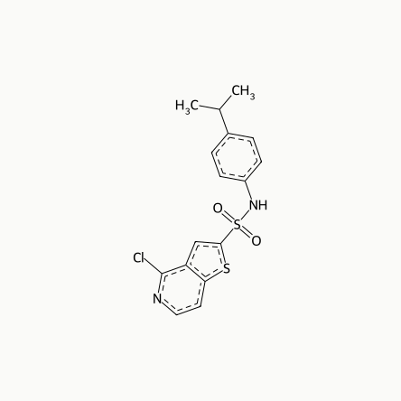 CC(C)c1ccc(NS(=O)(=O)c2cc3c(Cl)nccc3s2)cc1